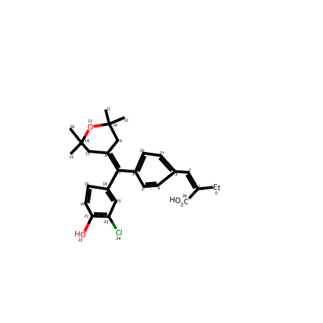 CCC(=Cc1ccc(C(=C2CC(C)(C)OC(C)(C)C2)c2ccc(O)c(Cl)c2)cc1)C(=O)O